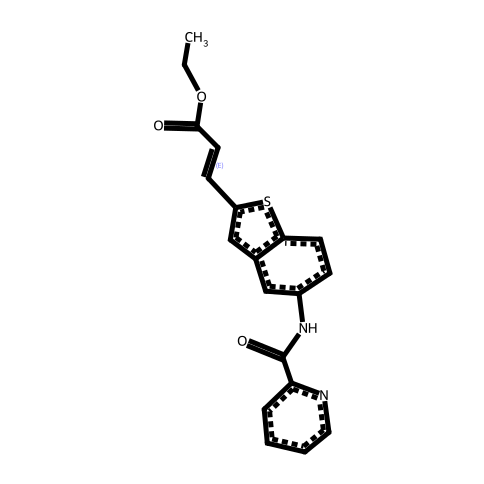 CCOC(=O)/C=C/c1cc2cc(NC(=O)c3ccccn3)ccc2s1